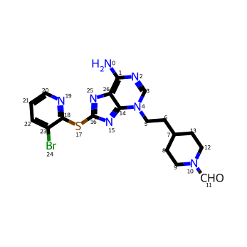 Nc1ncn(CCC2CCN(C=O)CC2)c2nc(Sc3ncccc3Br)nc1-2